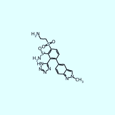 Cn1cc2cc(-c3ccc(S(=O)(=O)CCN)c([S+](N)[O-])c3-c3nnn[nH]3)ccc2n1